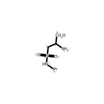 CC(C)NS(=O)(=O)CC(N)C(=O)O